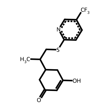 CC(CSc1ccc(C(F)(F)F)cn1)C1CC(=O)C=C(O)C1